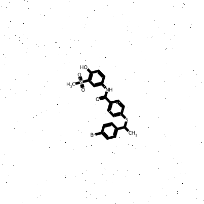 CC(Sc1ccc(C(=O)Nc2ccc(O)c(S(C)(=O)=O)c2)cc1)c1ccc(Br)cc1